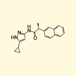 C[C@H](C(=O)Nc1cc(C2CC2)[nH]n1)c1ccc2ccccc2c1